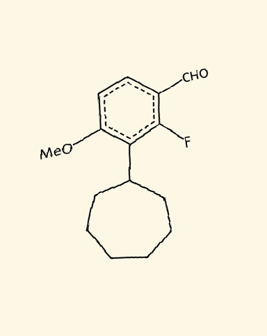 COc1ccc(C=O)c(F)c1C1CCCCCC1